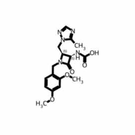 COc1ccc(CN2C(=O)[C@@H](NC(=O)O)[C@@H]2Cn2ncnc2C)c(OC)c1